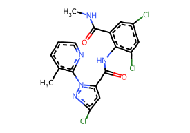 CNC(=O)c1cc(Cl)cc(Cl)c1NC(=O)c1cc(Cl)nn1-c1ncccc1C